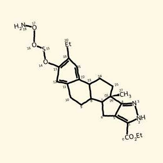 CCOC(=O)c1[nH]nc2c1CC1C3CCc4cc(OSOON)c(CC)cc4C3CC[C@]21C